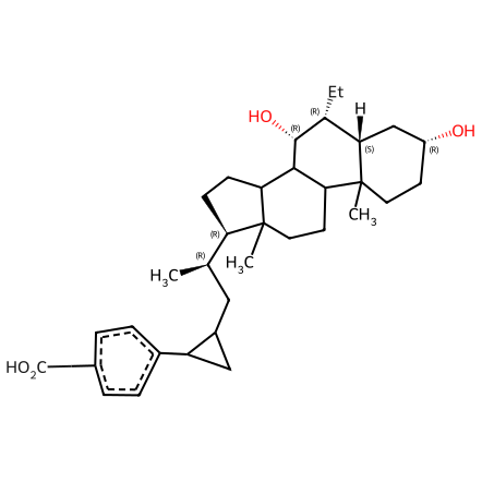 CC[C@H]1[C@@H](O)C2C3CC[C@H]([C@H](C)CC4CC4c4ccc(C(=O)O)cc4)C3(C)CCC2C2(C)CC[C@@H](O)C[C@@H]12